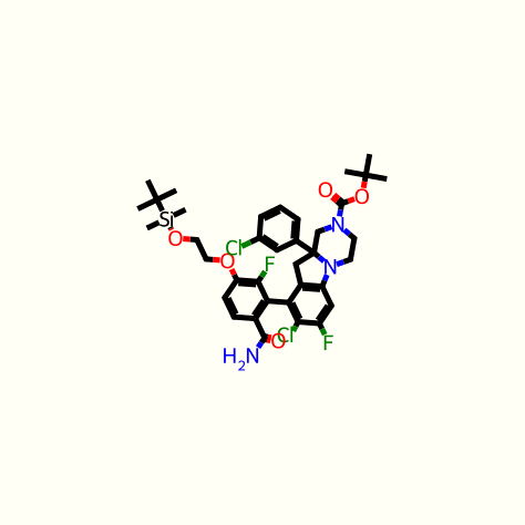 CC(C)(C)OC(=O)N1CCN2c3cc(F)c(Cl)c(-c4c(C(N)=O)ccc(OCCO[Si](C)(C)C(C)(C)C)c4F)c3CC2(c2cccc(Cl)c2)C1